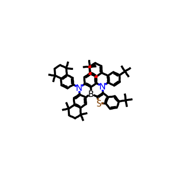 CC(C)(C)c1ccc(N2c3cc(C(C)(C)C)cc4c3B(c3cc5c(cc3N4c3ccc4c(c3)C(C)(C)CCC4(C)C)C(C)(C)CCC5(C)C)c3sc4ccc(C(C)(C)C)cc4c32)c(-c2ccccc2)c1